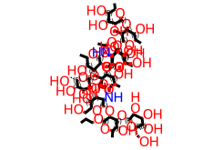 CCCO[C@@H]1OC(C)[C@H](O)[C@H](O[C@H]2O[C@@H](CO)[C@@H](O)C(O)C2O)C1O[C@@H]1OC(CO)[C@@H](O)[C@H](O[C@@H]2OC(C)[C@H](O)[C@H](O[C@@H]3OC(C)[C@H](O)[C@H](O)C3O[C@@H]3OC(C)[C@H](O)[C@H](O[C@H]4O[C@@H](CO)[C@@H](O)C(O)C4O)C3O[C@@H]3OC(CO)[C@@H](O)[C@H](O[C@@H]4OC(C)[C@H](O)[C@H](O[C@@H]5OC(C)[C@H](O)[C@H](O)C5O)C4C)C3NC(C)=O)C2C)C1NC(C)=O